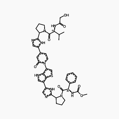 COC(=O)N[C@@H](C(=O)N1CCCC1c1ncc(-c2c[nH]c3c(-n4ccc(-c5cnc(C6CCCN6C(=O)[C@@H](NC(=O)CO)C(C)C)[nH]5)cc4=O)csc23)[nH]1)c1ccccc1